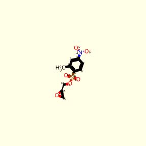 Cc1cc([N+](=O)[O-])ccc1S(=O)(=O)OC[C@H]1CO1